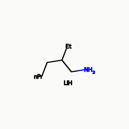 CCCCC(CC)CN.[LiH]